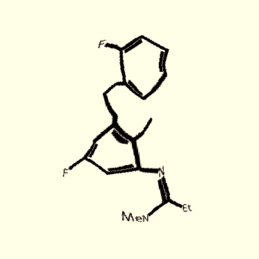 CCC(=Nc1cc(F)cc(Cc2ccccc2F)c1C)NC